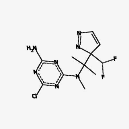 CN(c1nc(N)nc(Cl)n1)C(C)(C)C1(C(F)F)C=CN=N1